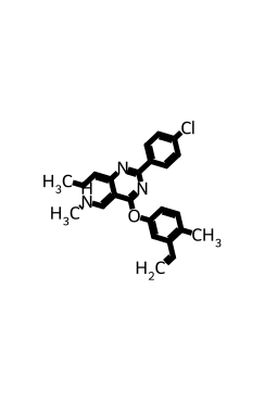 C=Cc1cc(Oc2nc(-c3ccc(Cl)cc3)nc(=C/CC)/c2=C\NC)ccc1C